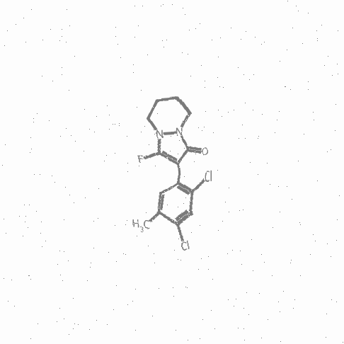 Cc1cc(-c2c(F)n3n(c2=O)CCCC3)c(Cl)cc1Cl